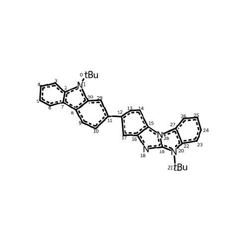 CC(C)(C)n1c2ccccc2c2ccc(-c3ccc4c(c3)nc3n(C(C)(C)C)c5ccccc5n43)cc21